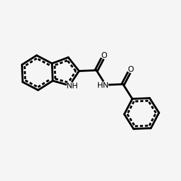 O=C(NC(=O)c1cc2ccccc2[nH]1)c1ccccc1